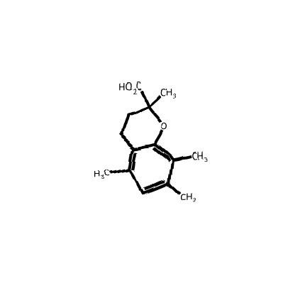 Cc1cc(C)c2c(c1C)OC(C)(C(=O)O)CC2